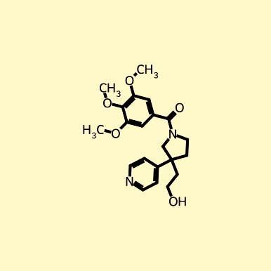 COc1cc(C(=O)N2CCC(CCO)(c3ccncc3)C2)cc(OC)c1OC